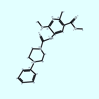 COC(=O)c1cc(NC(=S)N2CCN(c3ccccc3)CC2)c(OC)nc1C